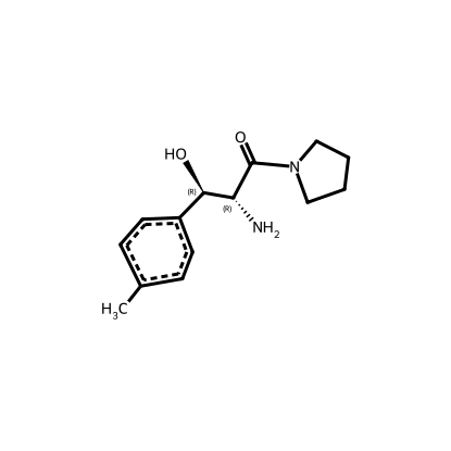 Cc1ccc([C@@H](O)[C@@H](N)C(=O)N2CCCC2)cc1